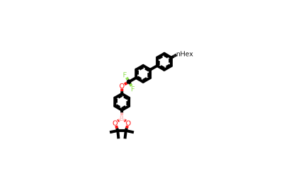 CCCCCCc1ccc(-c2ccc(C(F)(F)Oc3ccc(B4OC(C)(C)C(C)(C)O4)cc3)cc2)cc1